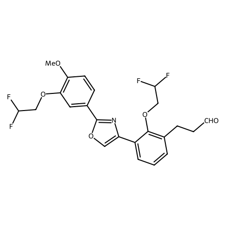 COc1ccc(-c2nc(-c3cccc(CCC=O)c3OCC(F)F)co2)cc1OCC(F)F